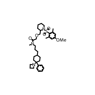 COc1cc(C)c(S(=O)(=O)N2CCCCC2COCC(=O)N(C)CCCC2CCC(c3ccccc3)(N3CCC3)CC2)c(C)c1